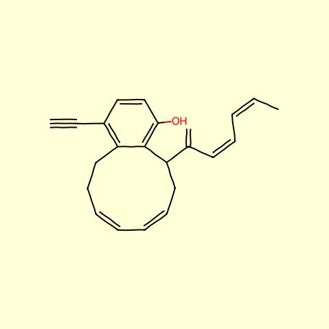 C#Cc1ccc(O)c2c1CC/C=C\C=C/CC2C(=C)/C=C\C=C/C